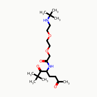 CC(=O)CCC(NC(=O)COCCOCCNC(C)(C)C)C(=O)C(C)(C)C